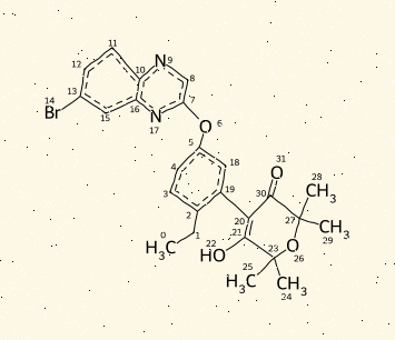 CCc1ccc(Oc2cnc3ccc(Br)cc3n2)cc1C1=C(O)C(C)(C)OC(C)(C)C1=O